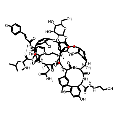 CN[C@H](CC(C)C)C(=O)N[C@H]1C(=O)N[C@@H](CC(N)=O)C(=O)N[C@H]2C(=O)N[C@H]3C(=O)N[C@H](C(=O)N[C@@H](C(=O)NNCCO)c4cc(O)cc(O)c4-c4cc3ccc4O)[C@H](O)c3ccc(c(Cl)c3)Oc3cc2cc(c3O[C@@H]2O[C@H](CO)[C@@H](O)[C@H](O)[C@H]2O[C@H]2C[C@](C)(NCCn3ccc(NC(=O)/C=C/c4ccc(Cl)cc4)nc3=O)[C@H](O)[C@H](C)O2)Oc2ccc(cc2Cl)[C@H]1O